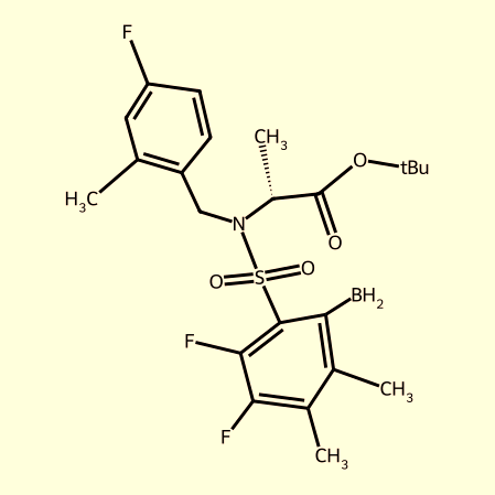 Bc1c(C)c(C)c(F)c(F)c1S(=O)(=O)N(Cc1ccc(F)cc1C)[C@H](C)C(=O)OC(C)(C)C